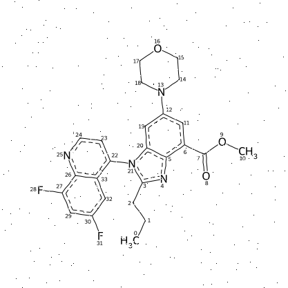 CCCc1nc2c(C(=O)OC)cc(N3CCOCC3)cc2n1-c1ccnc2c(F)cc(F)cc12